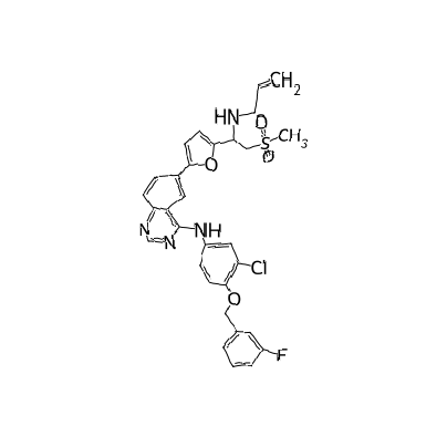 C=CCNC(CS(C)(=O)=O)c1ccc(-c2ccc3ncnc(Nc4ccc(OCc5cccc(F)c5)c(Cl)c4)c3c2)o1